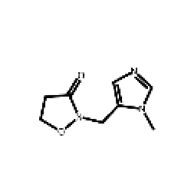 Cn1cncc1CN1OCCC1=O